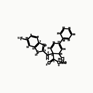 COC(=O)C1(Nc2nc3ccc(F)cc3s2)C=CC(c2ccccc2)=CC1Cl